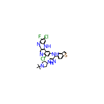 CC(C)(C)N1CCC(n2cc([C@@H](Nc3cc(Cl)c4ncc(C#N)c(Nc5ccc(F)c(Cl)c5)c4c3)c3ccc4sccc4c3)nn2)CC1